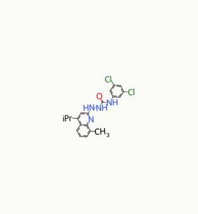 Cc1cccc2c(C(C)C)cc(NNC(=O)Nc3cc(Cl)cc(Cl)c3)nc12